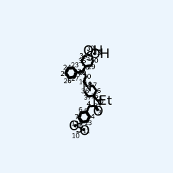 CCN(C(=O)Cc1ccc(S(C)(=O)=O)cc1)C1CCN(CC[C@@H](c2ccccc2)C2CCS(O)(O)CC2)CC1